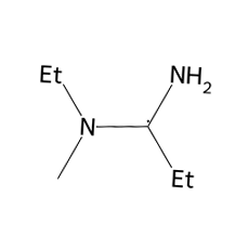 CC[C](N)N(C)CC